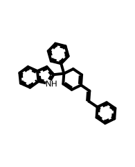 C(=Cc1ccccc1)C1=CCC(c2ccccc2)(c2cc3ccccc3[nH]2)C=C1